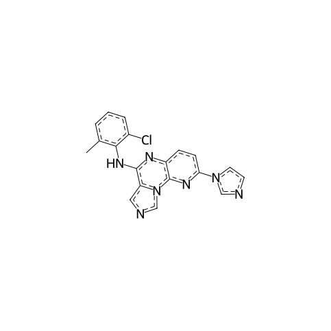 Cc1cccc(Cl)c1Nc1nc2ccc(-n3ccnc3)nc2n2cncc12